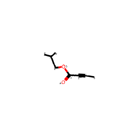 CC#CC(=O)OCC(C)C